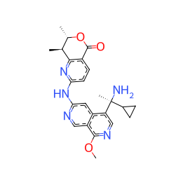 COc1ncc([C@@](C)(N)C2CC2)c2cc(Nc3ccc4c(n3)[C@@H](C)[C@H](C)OC4=O)ncc12